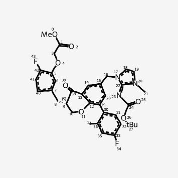 COC(=O)COc1cc(C[C@H]2COc3c(cc(Cn4ccn(C)c4=NC(=O)OC(C)(C)C)cc3-c3ccc(F)cc3C)C2=O)ccc1F